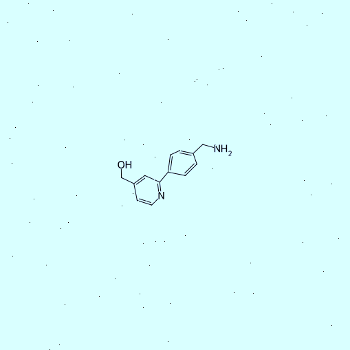 NCc1ccc(-c2cc(CO)ccn2)cc1